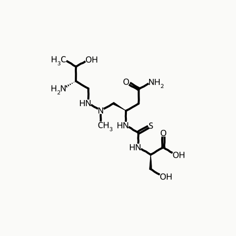 CC(O)[C@@H](N)CNN(C)C[C@@H](CC(N)=O)NC(=S)N[C@H](CO)C(=O)O